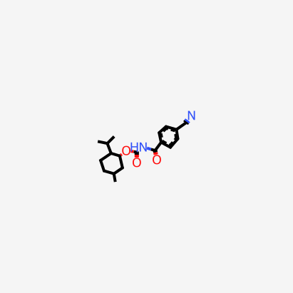 CC1CCC(C(C)C)C(OC(=O)NC(=O)c2ccc(C#N)cc2)C1